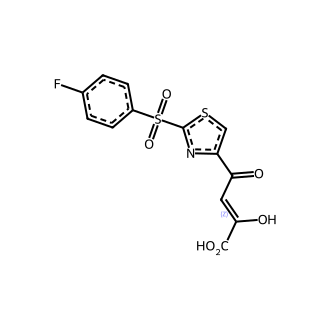 O=C(O)/C(O)=C/C(=O)c1csc(S(=O)(=O)c2ccc(F)cc2)n1